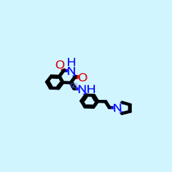 O=C1NC(=O)c2ccccc2/C1=C/Nc1cccc(CCN2CCCC2)c1